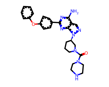 Nc1nc(-c2ccc(Oc3ccccc3)cc2)nc2c1cnn2[C@@H]1CCCN(C(=O)N2CCNCC2)C1